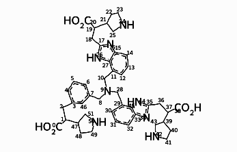 O=C(O)C(Cc1cccc(CN(Cc2cccc3nc(CC(C(=O)O)C4CCNC4)[nH]c23)Cc2cccc3nc(CC(C(=O)O)C4CCNC4)[nH]c23)c1)C1CCNC1